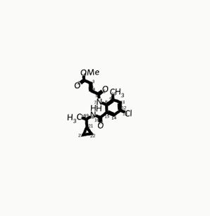 COC(=O)/C=C/C(=O)Nc1c(C)cc(Cl)cc1C(=O)NC(C)C1CC1